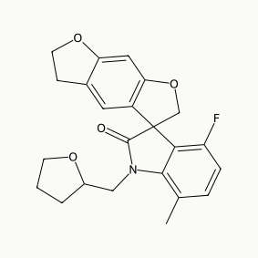 Cc1ccc(F)c2c1N(CC1CCCO1)C(=O)C21COc2cc3c(cc21)CCO3